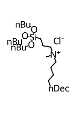 CCCCCCCCCCCCCC[N+](C)(C)CCC[Si](OCCCC)(OCCCC)OCCCC.[Cl-]